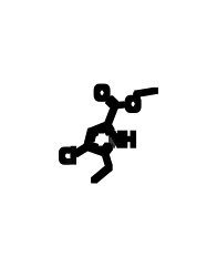 CCOC(=O)c1cc(Cl)c(CC)[nH]1